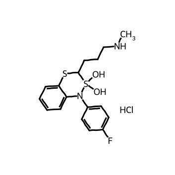 CNCCCC1Sc2ccccc2N(c2ccc(F)cc2)S1(O)O.Cl